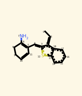 C/C=c1\c(=C\C2=C(N)CCC=C2)sc2ccccc12